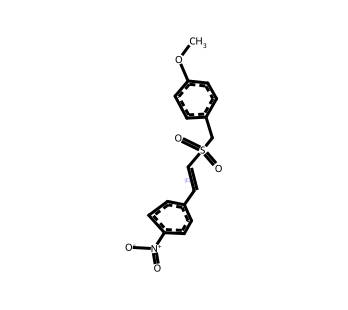 COc1ccc(CS(=O)(=O)/C=C/c2ccc([N+](=O)[O-])cc2)cc1